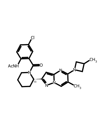 CC(=O)Nc1ccc(Cl)cc1C(=O)N1CCCC[C@H]1c1cc2nc(N3CC(C)C3)c(C)cn2n1